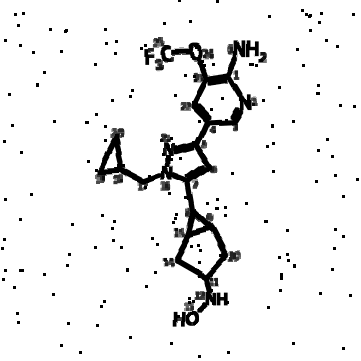 Nc1ncc(-c2cc(C3C4CC(NO)CC43)n(CC3CC3)n2)cc1OC(F)(F)F